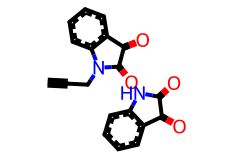 C#CCN1C(=O)C(=O)c2ccccc21.O=C1Nc2ccccc2C1=O